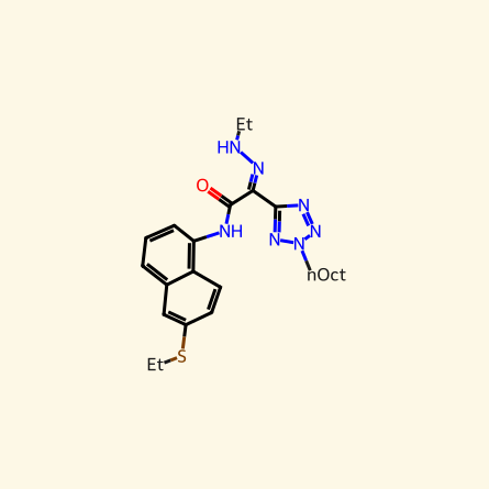 CCCCCCCCn1nnc(/C(=N/NCC)C(=O)Nc2cccc3cc(SCC)ccc23)n1